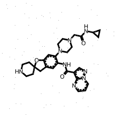 O=C(CN1CCN(c2cc3c(cc2NC(=O)c2cnn4cccnc24)CC2(CCNCC2)O3)CC1)NC1CC1